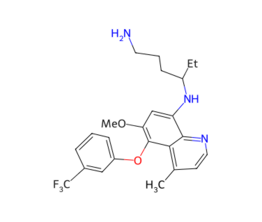 CCC(CCCN)Nc1cc(OC)c(Oc2cccc(C(F)(F)F)c2)c2c(C)ccnc12